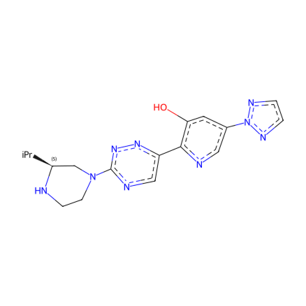 CC(C)[C@H]1CN(c2ncc(-c3ncc(-n4nccn4)cc3O)nn2)CCN1